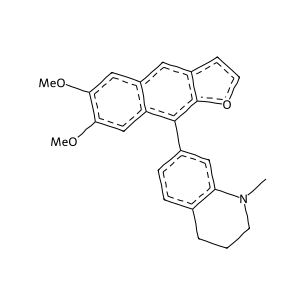 COc1cc2cc3ccoc3c(-c3ccc4c(c3)N(C)CCC4)c2cc1OC